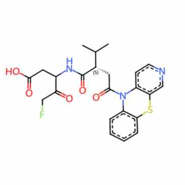 CC(C)[C@H](CC(=O)N1c2ccccc2Sc2cnccc21)C(=O)NC(CC(=O)O)C(=O)CF